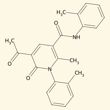 CC(=O)c1cc(C(=O)Nc2ccccc2C)c(C)n(-c2ccccc2C)c1=O